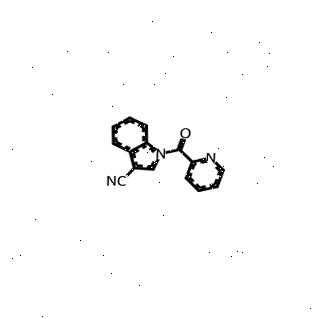 N#Cc1cn(C(=O)c2ccccn2)c2ccccc12